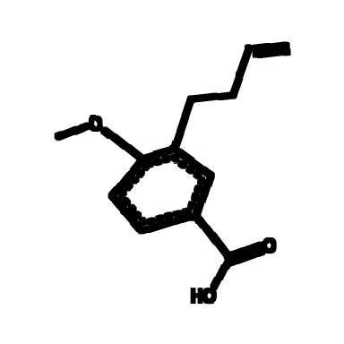 C=CCCc1cc(C(=O)O)ccc1OC